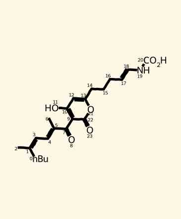 CCCC/C(C)=C\C=C(/C)C(=O)c1c(O)cc(CCC/C=C/NC(=O)O)oc1=O